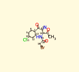 Cc1onc(C(=O)c2ccc(Cl)cc2)c1NC(=O)CBr